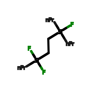 CCC[Si](F)(F)CC[Si](F)(CCC)CCC